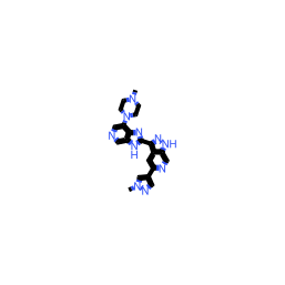 CN1CCN(c2cncc3[nH]c(-c4n[nH]c5cnc(-c6cnn(C)c6)cc45)nc23)CC1